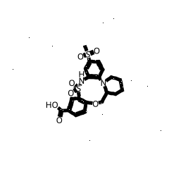 CS(=O)(=O)c1ccc2c(c1)NS(=O)(=O)c1cc(C(=O)O)ccc1OCC1CCCCN21